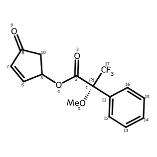 CO[C@@](C(=O)OC1C=CC(=O)C1)(c1ccccc1)C(F)(F)F